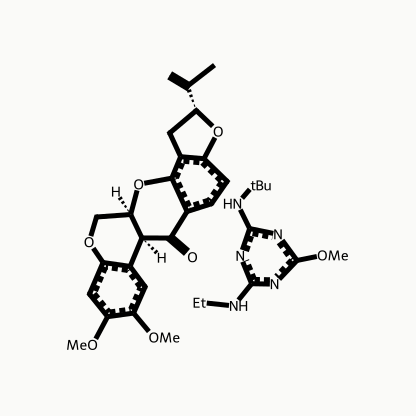 C=C(C)[C@H]1Cc2c(ccc3c2O[C@@H]2COc4cc(OC)c(OC)cc4[C@@H]2C3=O)O1.CCNc1nc(NC(C)(C)C)nc(OC)n1